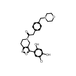 O=C(Cc1ccc(CN2CCOCC2)cc1)N1CCc2noc(-c3cc(Cl)c(O)cc3O)c2C1